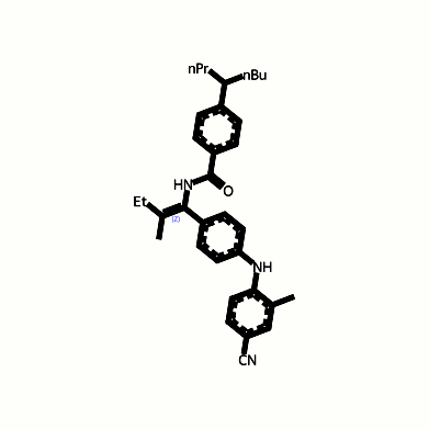 CCCCC(CCC)c1ccc(C(=O)N/C(=C(/C)CC)c2ccc(Nc3ccc(C#N)cc3C)cc2)cc1